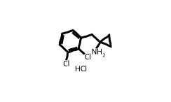 Cl.NC1(Cc2cccc(Cl)c2Cl)CC1